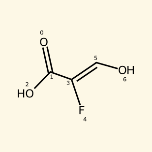 O=C(O)C(F)=CO